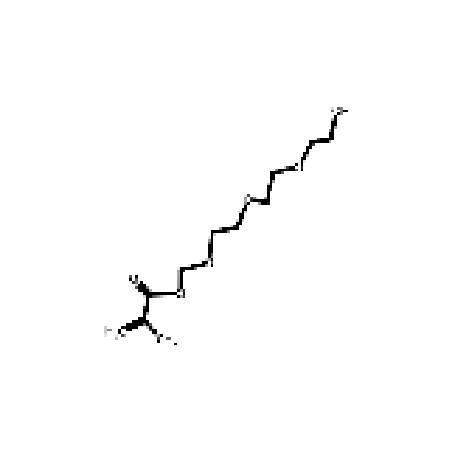 C=C(C)C(=O)OCOCCOCCOCCO